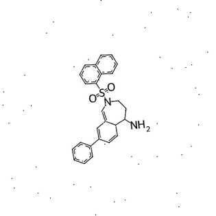 NC1CCN(S(=O)(=O)c2cccc3ccccc23)C=C2C=C(c3ccccc3)C=CC21